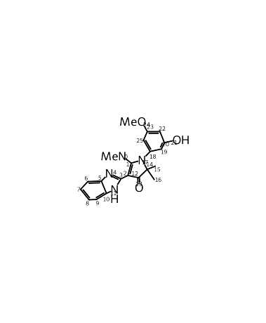 CNC1=C(c2nc3ccccc3[nH]2)C(=O)C(C)(C)N1c1cc(O)cc(OC)c1